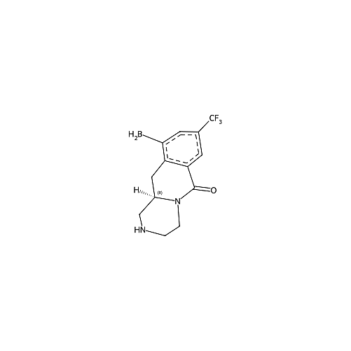 Bc1cc(C(F)(F)F)cc2c1C[C@@H]1CNCCN1C2=O